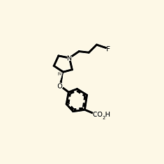 O=C(O)c1ccc(O[C@H]2CCN(CCCF)C2)cc1